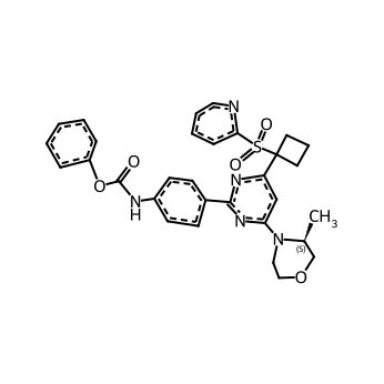 C[C@H]1COCCN1c1cc(C2(S(=O)(=O)c3ccccn3)CCC2)nc(-c2ccc(NC(=O)Oc3ccccc3)cc2)n1